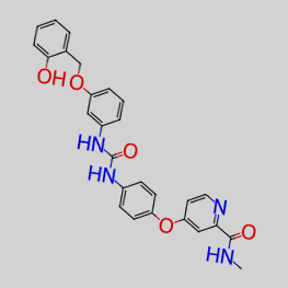 CNC(=O)c1cc(Oc2ccc(NC(=O)Nc3cccc(OCc4ccccc4O)c3)cc2)ccn1